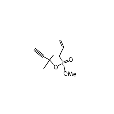 C#CC(C)(C)OP(=O)(CC=C)OC